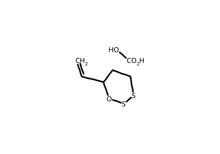 C=CC1CCSSO1.O=C(O)O